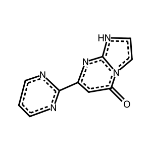 O=c1cc(-c2ncccn2)nc2[nH]ccn12